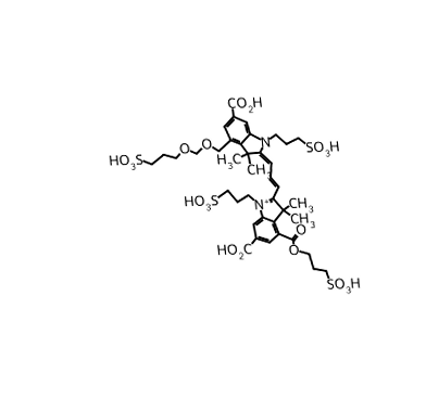 CC1(C)C(/C=C/C=C2/N(CCCS(=O)(=O)O)c3cc(C(=O)O)cc(COCOCCCS(=O)(=O)O)c3C2(C)C)=[N+](CCCS(=O)(=O)O)c2cc(C(=O)O)cc(C(=O)OCCCS(=O)(=O)O)c21